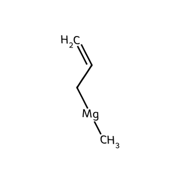 C=C[CH2][Mg][CH3]